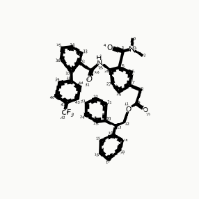 CN(C)C(=O)c1cc(CC(=O)OCC(c2ccccc2)c2ccccc2)ccc1NC(=O)c1ccccc1-c1ccc(C(F)(F)F)cc1